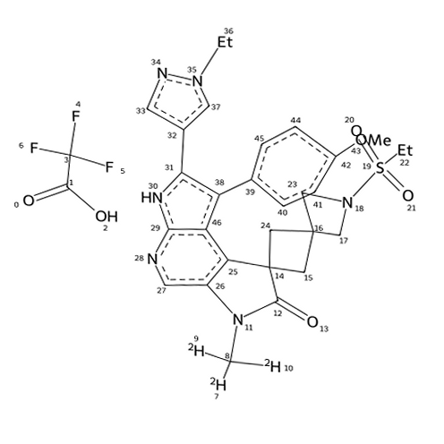 O=C(O)C(F)(F)F.[2H]C([2H])([2H])N1C(=O)C2(CC3(CN(S(=O)(=O)CC)C3)C2)c2c1cnc1[nH]c(-c3cnn(CC)c3)c(-c3ccc(OC)cc3)c21